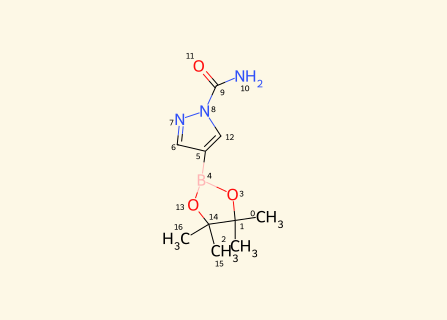 CC1(C)OB(c2cnn(C(N)=O)c2)OC1(C)C